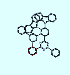 c1ccc(-c2cc(-c3ccccc3)cc(-c3c(-c4nc(-c5ccccc5)nc(-c5ccccc5)n4)ccc(-n4c5ccccc5c5ccccc54)c3-n3c4ccccc4c4ccccc43)c2)cc1